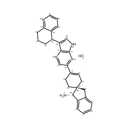 Cl.N[C@H]1c2ccccc2C[C@@]12CC=C(c1cnc3c(N4CCCc5ncccc54)n[nH]c3n1)CC2